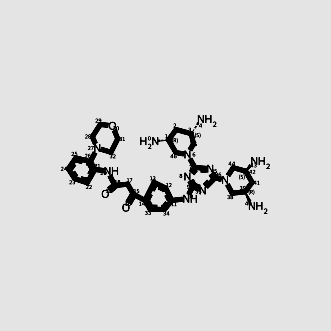 N[C@@H]1C[C@H](N)CN(c2nc(Nc3ccc(C(=O)CC(=O)Nc4ccccc4N4CCOCC4)cc3)nc(N3C[C@H](N)C[C@H](N)C3)n2)C1